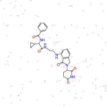 O=C1CCC(N2Cc3cccc(NCCNC(=O)C(NC(=O)c4ccccc4)C4CC4)c3C2=O)C(=O)N1